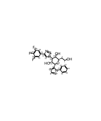 OCC[C@H]1O[C@@H](c2ncnn2-c2ccccc2)[C@H](O)[C@@H](n2cc(-c3cc(F)c(F)c(F)c3)nn2)[C@H]1O